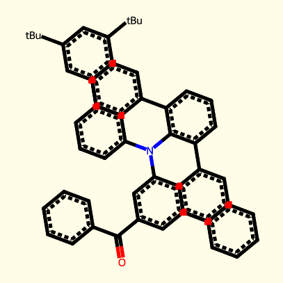 CC(C)(C)c1cc(-c2cccc(N(c3cc(C(=O)c4ccccc4)cc(-c4ccccc4)c3)c3c(-c4ccccc4)cccc3-c3ccccc3)c2)cc(C(C)(C)C)c1